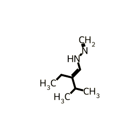 C=NN/C=C(\CC)C(C)C